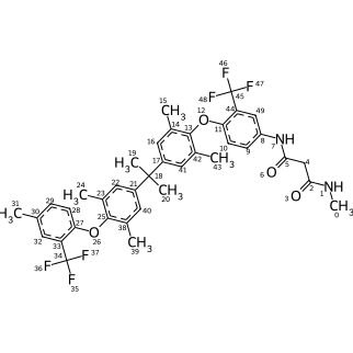 CNC(=O)CC(=O)Nc1ccc(Oc2c(C)cc(C(C)(C)c3cc(C)c(Oc4ccc(C)cc4C(F)(F)F)c(C)c3)cc2C)c(C(F)(F)F)c1